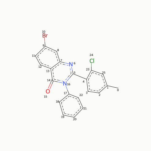 Cc1ccc(-c2nc3cc(Br)ccc3c(=O)n2-c2ccccc2)c(Cl)c1